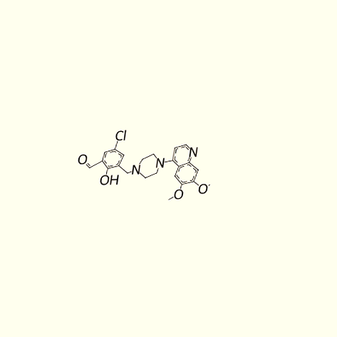 COc1cc2nccc(N3CCN(Cc4cc(Cl)cc(C=O)c4O)CC3)c2cc1OC